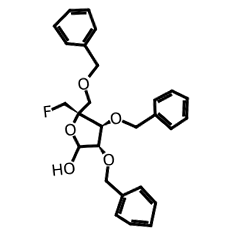 OC1O[C@](CF)(COCc2ccccc2)[C@@H](OCc2ccccc2)[C@H]1OCc1ccccc1